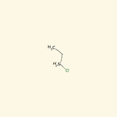 C[CH][SiH2]Cl